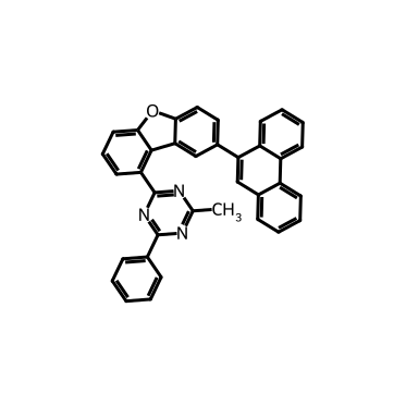 Cc1nc(-c2ccccc2)nc(-c2cccc3oc4ccc(-c5cc6ccccc6c6ccccc56)cc4c23)n1